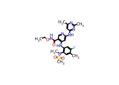 CCONC(=O)c1cnc(Nc2cc(C)nc(C)n2)cc1Nc1cc(F)c(C)cc1N(C)S(C)(=O)=O